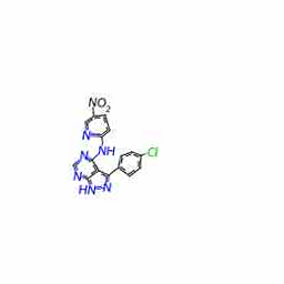 O=[N+]([O-])c1ccc(Nc2ncnc3[nH]nc(-c4ccc(Cl)cc4)c23)nc1